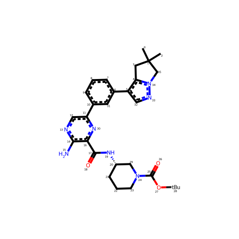 CC1(C)Cc2c(-c3cccc(-c4cnc(N)c(C(=O)N[C@H]5CCCN(C(=O)OC(C)(C)C)C5)n4)c3)cnn2C1